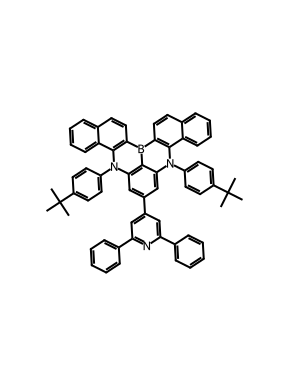 CC(C)(C)c1ccc(N2c3cc(-c4cc(-c5ccccc5)nc(-c5ccccc5)c4)cc4c3B(c3ccc5ccccc5c32)c2ccc3ccccc3c2N4c2ccc(C(C)(C)C)cc2)cc1